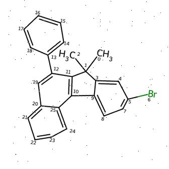 CC1(C)c2cc(Br)ccc2-c2c1c(-c1ccccc1)cc1ccccc21